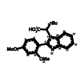 CCCCC(C(=O)O)n1c(-c2ccc(OC)cc2OC)nc2ccccc21